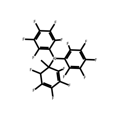 C[C]1([Al]([c]2c(F)c(F)c(F)c(F)c2F)[c]2c(F)c(F)c(F)c(F)c2F)C(F)=C(F)C(F)=C(F)C1F